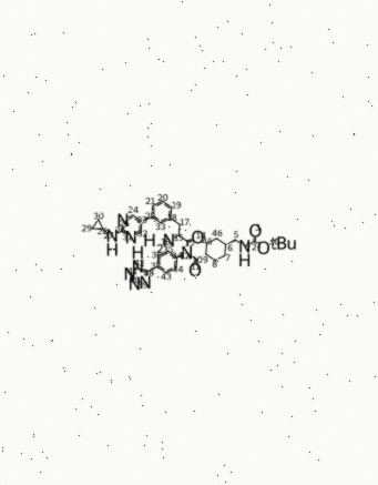 CC(C)(C)OC(=O)NC[C@H]1CC[C@H](C(=O)N(C(=O)[C@@H](N)Cc2cccc(-c3cnc(NC4CC4)nc3)c2)c2ccc(-c3nnn[nH]3)cc2)CC1